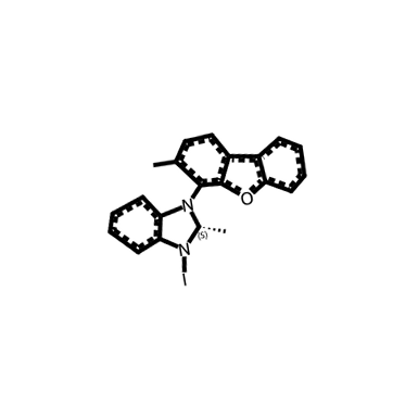 Cc1ccc2c(oc3ccccc32)c1N1c2ccccc2N(I)[C@H]1C